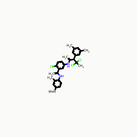 C=C(Nc1ccc(NC)cc1C)c1cc(NC(=C)C(c2cc(C)cc(C)c2)C(C)(Cl)Cl)ccc1Cl